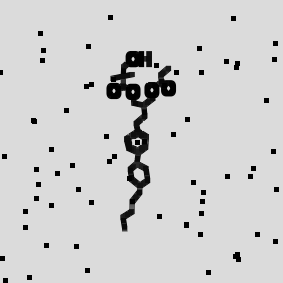 CCCCCC1CCC(c2ccc(CCC(COC(=O)CC)COC(=O)C(C)(C)CO)cc2)CC1